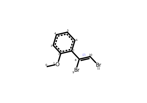 COc1ccccc1/C(Br)=C/Br